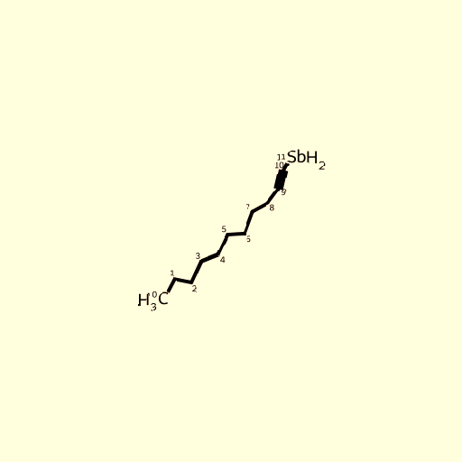 CCCCCCCCCC#[C][SbH2]